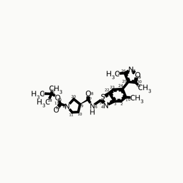 Cc1cc2nc(NC(=O)[C@H]3CCN(C(=O)OC(C)(C)C)C3)sc2cc1-c1c(C)noc1C